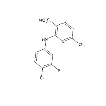 O=C(O)c1ccc(C(F)(F)F)nc1Nc1ccc(Cl)c(F)c1